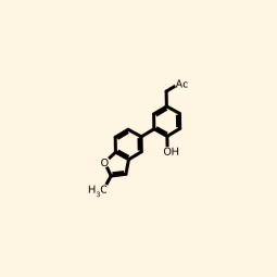 CC(=O)Cc1ccc(O)c(-c2ccc3oc(C)cc3c2)c1